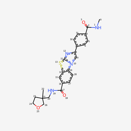 CNC(=O)c1ccc(-c2cn3c(n2)sc2cc(C(=O)NCC4(C)CCOC4)ccc23)cc1